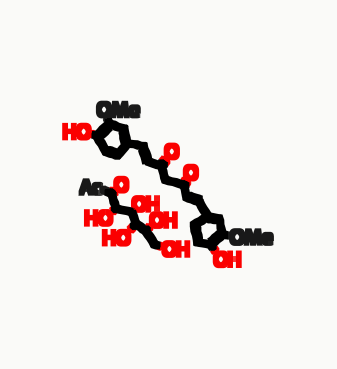 CC(=O)C(=O)C(O)C(O)C(O)C(O)CO.COc1cc(/C=C/C(=O)CC(=O)/C=C/c2ccc(O)c(OC)c2)ccc1O